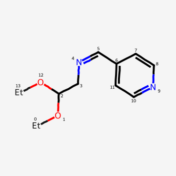 CCOC(C/N=C\c1ccncc1)OCC